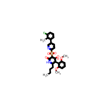 CCCCc1[nH]c(=O)c(S(=O)(=O)c2ccc(-c3cccc(F)c3C)cn2)c(O)c1-c1c(OC)cccc1OC